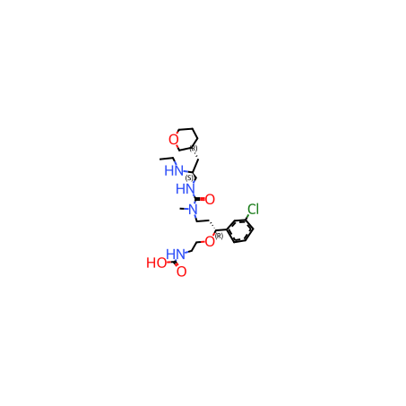 CCN[C@H](CNC(=O)N(C)CC[C@@H](OCCNC(=O)O)c1cccc(Cl)c1)C[C@H]1CCCOC1